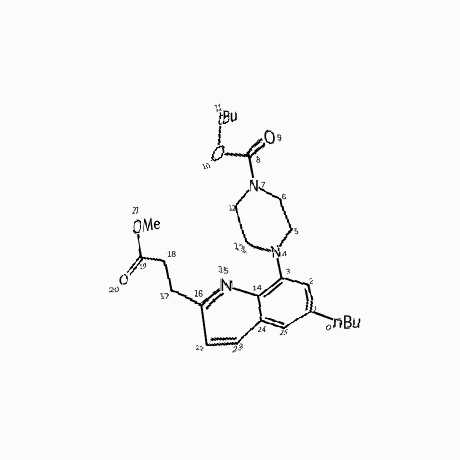 CCCCc1cc(N2CCN(C(=O)OC(C)(C)C)CC2)c2nc(CCC(=O)OC)ccc2c1